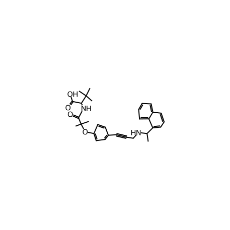 CC(NCC#Cc1ccc(OC(C)(C)C(=O)N[C@@H](C(=O)O)C(C)(C)C)cc1)c1cccc2ccccc12